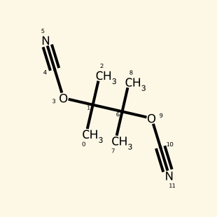 CC(C)(OC#N)C(C)(C)OC#N